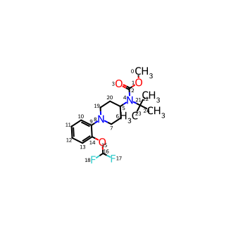 COC(=O)N(C1CCN(c2ccccc2OC(F)F)CC1)C(C)(C)C